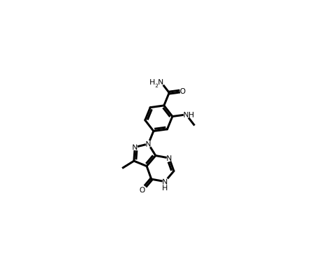 CNc1cc(-n2nc(C)c3c(=O)[nH]cnc32)ccc1C(N)=O